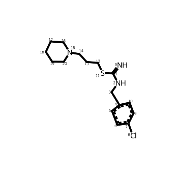 N=C(NCc1ccc(Cl)cc1)SCCCN1CCCCC1